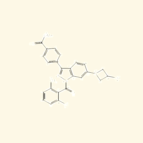 COC(=O)c1ccc(-c2nn(C(=O)c3c(C)cccc3Cl)c3cc(N4CC(O)C4)ccc23)cc1